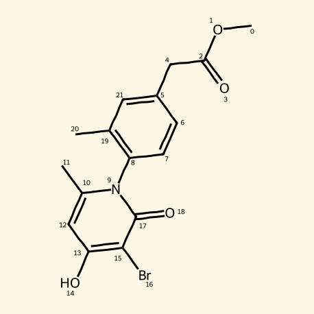 COC(=O)Cc1ccc(-n2c(C)cc(O)c(Br)c2=O)c(C)c1